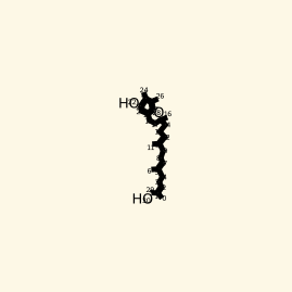 C/C(=C/CC/C(C)=C/CC/C(C)=C/CCC1(C)CCc2cc(O)c(C)c(C)c2O1)CO